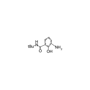 CC(C)(C)NC(=O)c1cccc(N)c1O